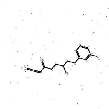 C=C=CC(=N)CCC(O)CCc1cccc(Cl)c1